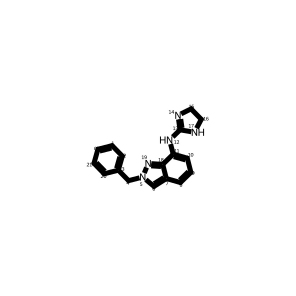 c1ccc(Cn2cc3cccc(NC4=NCCN4)c3n2)cc1